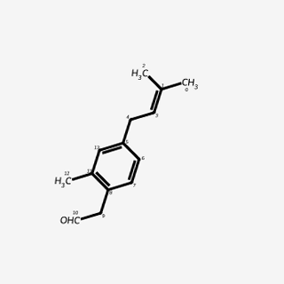 CC(C)=CCc1ccc(CC=O)c(C)c1